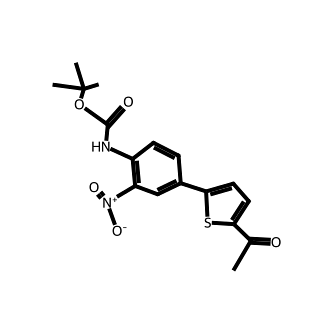 CC(=O)c1ccc(-c2ccc(NC(=O)OC(C)(C)C)c([N+](=O)[O-])c2)s1